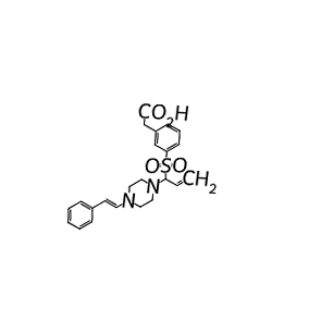 C=CC(N1CCN(C=Cc2ccccc2)CC1)S(=O)(=O)c1cccc(CC(=O)O)c1